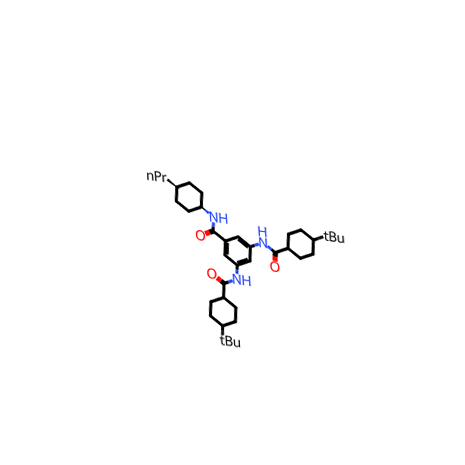 CCC[C@H]1CC[C@@H](NC(=O)c2cc(NC(=O)C3CCC(C(C)(C)C)CC3)cc(NC(=O)C3CCC(C(C)(C)C)CC3)c2)CC1